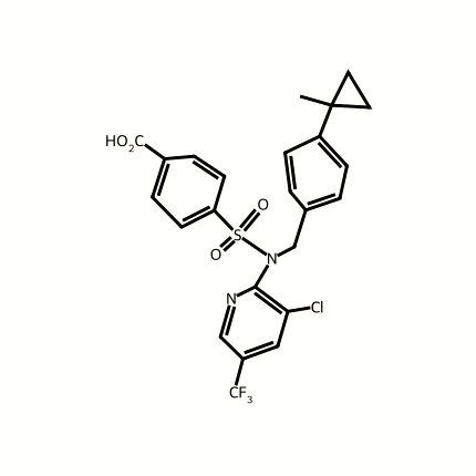 CC1(c2ccc(CN(c3ncc(C(F)(F)F)cc3Cl)S(=O)(=O)c3ccc(C(=O)O)cc3)cc2)CC1